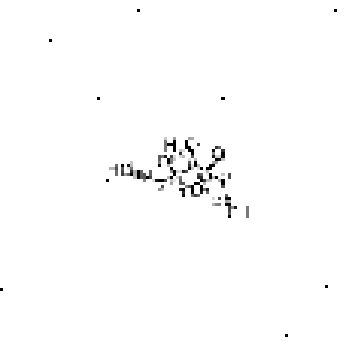 C#CCS(=O)(=O)C(C)S(=O)(=O)CC#C